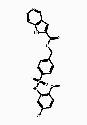 COc1ccc(Cl)cc1NS(=O)(=O)c1ccc(CNC(=O)c2cc3cnccc3[nH]2)cc1